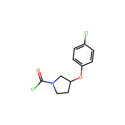 O=C(Cl)N1CCC(Oc2ccc(Cl)cc2)C1